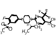 CC(C)[C@@H]1CN(c2ccc(F)c(S(C)(=O)=O)c2)CCN1c1ncc([C@H](C)O)c(C(F)(F)F)n1